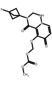 COC(=O)OCOc1c2n(ccc1=O)NCN(C13CC(F)(C1)C3)C2=O